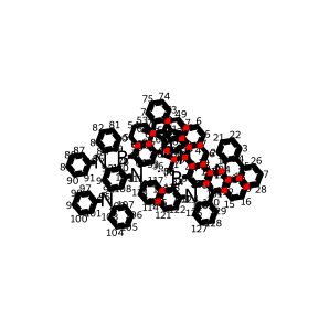 CCN(c1ccccc1)c1cc(N(c2ccccc2)c2ccccc2-c2ccccc2)cc2c1B([C@H](C)C(C)N(C1=C(C3C=CC=CC3)C=CCC1C1=CCCC=C1)c1cc3c(cc1C1(C)c4ccccc4-c4ccccc41)B1c4ccccc4N(c4ccccc4)c4cc(N(c5ccccc5)c5ccccc5)cc(c41)N3c1ccccc1)c1ccccc1N2c1ccccc1-c1ccccc1